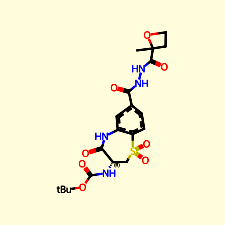 CC(C)(C)OC(=O)N[C@H]1CS(=O)(=O)c2ccc(C(=O)NNC(=O)C3(C)CCO3)cc2NC1=O